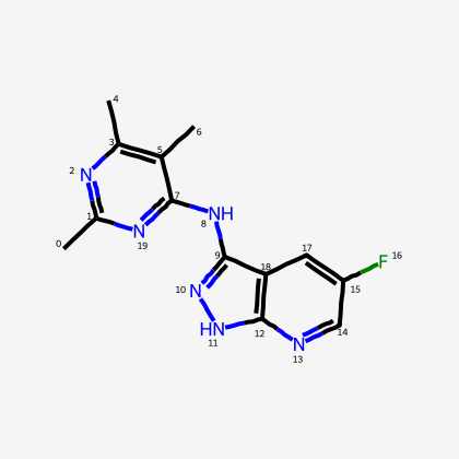 Cc1nc(C)c(C)c(Nc2n[nH]c3ncc(F)cc23)n1